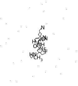 Cn1cnnc1C1(c2cccc(NC(=O)c3cc(CNC4(C)CCC4)c4c(n3)C(F)(F)CC4)c2)CC(CC#N)C1